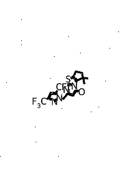 CC1(C)CCc2sc3nc(Cn4nc(C(F)(F)F)cc4C(F)(F)F)cc(=O)n3c21